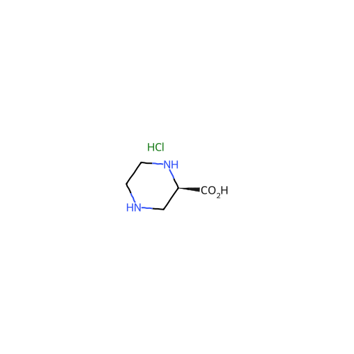 Cl.O=C(O)[C@H]1CNCCN1